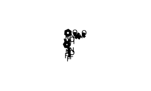 CC(=O)N1CC(C)(C(=O)N[C@@H]2CCCC[C@H]2N2Cc3ccc(-c4noc(C(F)(F)F)n4)cc3C2=O)C1